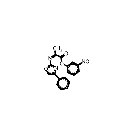 CC(=Nc1nc(-c2ccccc2)co1)C(=O)Oc1cccc([N+](=O)[O-])c1